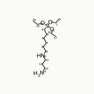 CCO[Si](CCCCCCNCCCN)(OCC)OCC